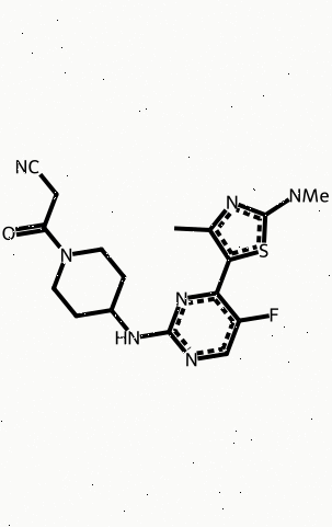 CNc1nc(C)c(-c2nc(NC3CCN(C(=O)CC#N)CC3)ncc2F)s1